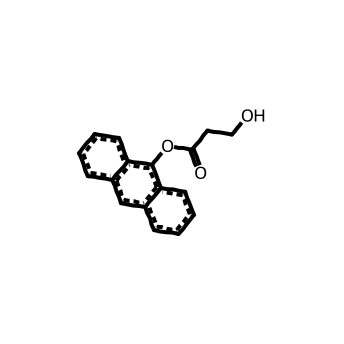 O=C(CCO)Oc1c2ccccc2cc2ccccc12